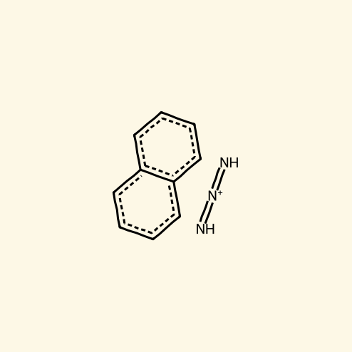 N=[N+]=N.c1ccc2ccccc2c1